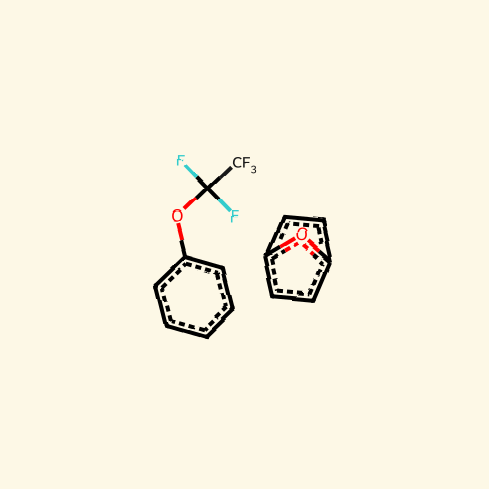 FC(F)(F)C(F)(F)Oc1ccccc1.c1cc2ccc1o2